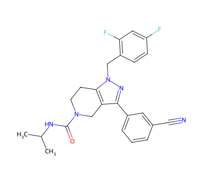 CC(C)NC(=O)N1CCc2c(c(-c3cccc(C#N)c3)nn2Cc2ccc(F)cc2F)C1